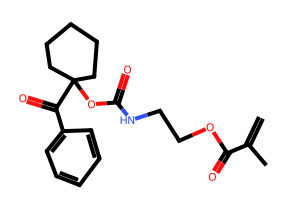 C=C(C)C(=O)OCCNC(=O)OC1(C(=O)c2ccccc2)CCCCC1